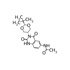 CC(=O)Nc1ccc2[nH]c(=O)n([C@H]3CO[C@H](C(C)(C)C)OC3)c(=O)c2c1